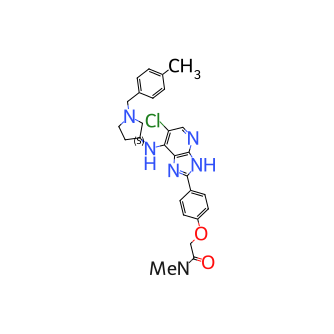 CNC(=O)COc1ccc(-c2nc3c(N[C@H]4CCN(Cc5ccc(C)cc5)C4)c(Cl)cnc3[nH]2)cc1